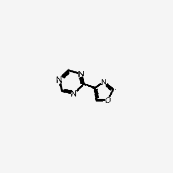 [c]1nc(-c2ncncn2)co1